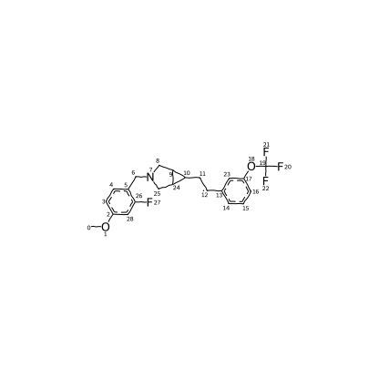 COc1ccc(CN2CC3C(C[CH]c4cccc(OC(F)(F)F)c4)C3C2)c(F)c1